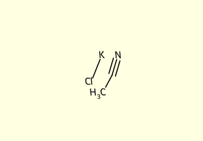 CC#N.[Cl][K]